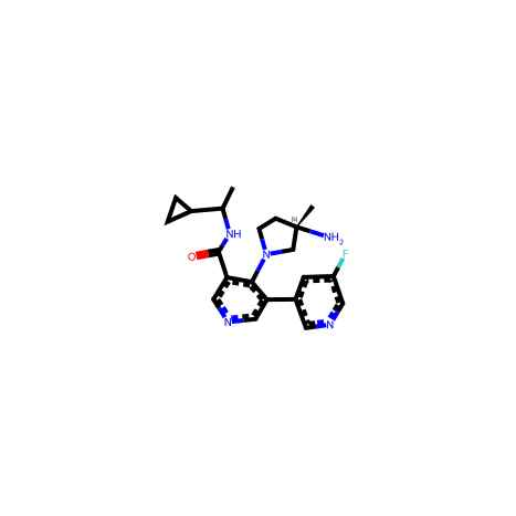 CC(NC(=O)c1cncc(-c2cncc(F)c2)c1N1CC[C@](C)(N)C1)C1CC1